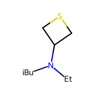 CCC(C)N(CC)C1CSC1